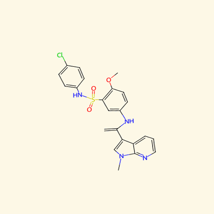 C=C(Nc1ccc(OC)c(S(=O)(=O)Nc2ccc(Cl)cc2)c1)c1cn(C)c2ncccc12